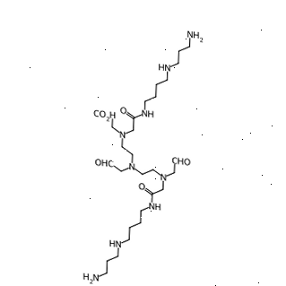 NCCCNCCCCNC(=O)CN(CC=O)CCN(CC=O)CCN(CC(=O)O)CC(=O)NCCCCNCCCN